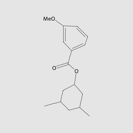 COc1cccc(C(=O)OC2CC(C)CC(C)C2)c1